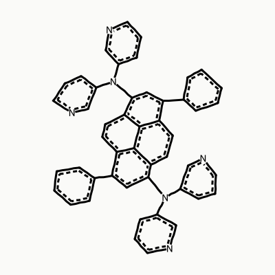 c1ccc(-c2cc(N(c3cccnc3)c3cccnc3)c3ccc4c(-c5ccccc5)cc(N(c5cccnc5)c5cccnc5)c5ccc2c3c45)cc1